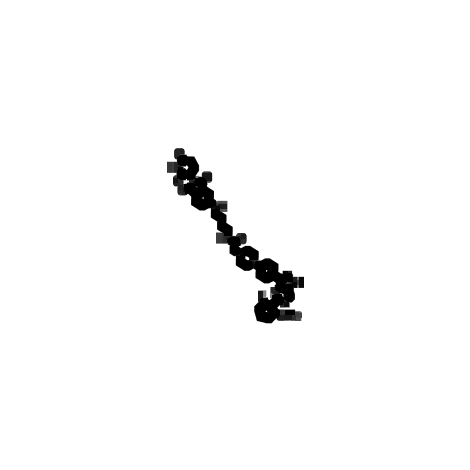 COc1cccc(F)c1-c1ncc2[nH]nc(-c3ccc(N4CCN(CC(=O)NCCCCNc5ccc6c(c5)C(=O)N(C5CCC(=O)NC5=O)C6=O)CC4)cc3)c2n1